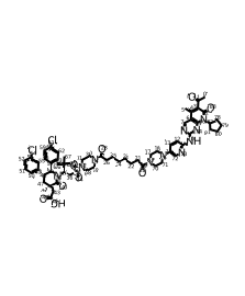 CC(=O)c1c(C)c2cnc(Nc3ccc(N4CCN(C(=O)CCCCCCC(=O)N5CCN(S(=O)(=O)C[C@@H](N6C(=O)[C@@](C)(CC(=O)O)C[C@H](c7cccc(Cl)c7)[C@H]6c6ccc(Cl)cc6)C(C)(C)C)CC5)CC4)cn3)nc2n(C2CCCC2)c1=O